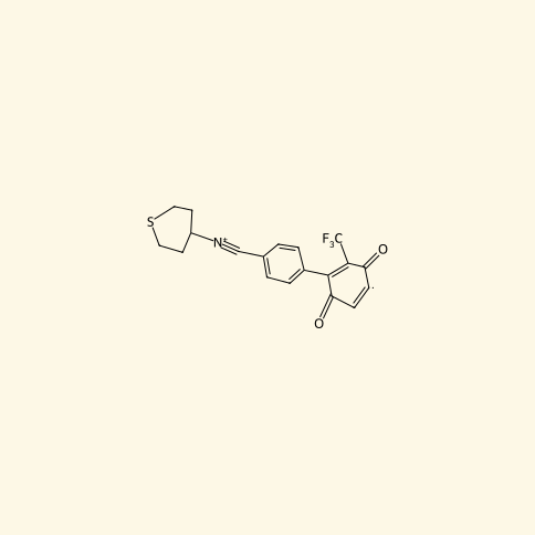 O=C1[C]=CC(=O)C(c2ccc(C#[N+]C3CCSCC3)cc2)=C1C(F)(F)F